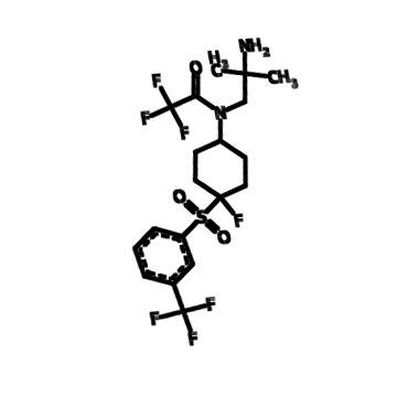 CC(C)(N)CN(C(=O)C(F)(F)F)C1CCC(F)(S(=O)(=O)c2cccc(C(F)(F)F)c2)CC1